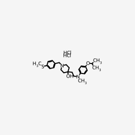 CSc1ccc(CN2CCC(O)(CCN(C)c3ccc(OC(C)C)cc3)CC2)cc1.Cl.Cl